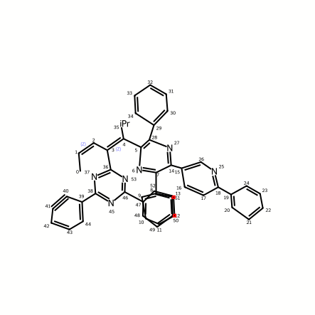 C/C=C\C(=C(\c1nc(C2=CCCC=C2)c(-c2ccc(-c3ccccc3)nc2)nc1-c1ccccc1)C(C)C)c1nc(-c2c#cccc2)nc(-c2ccccc2)n1